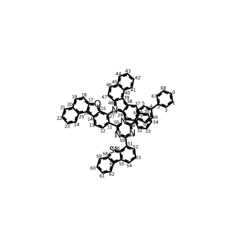 c1ccc(-c2ccc(-c3nc(-c4ccc5c(oc6ccc7ccccc7c65)c4-n4c5cc6ccccc6cc5c5c6ccccc6ccc54)nc(-c4cccc5c4sc4ccccc45)n3)cc2)cc1